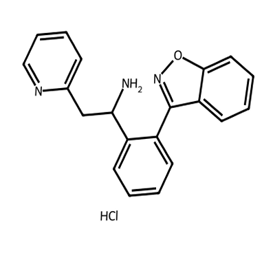 Cl.NC(Cc1ccccn1)c1ccccc1-c1noc2ccccc12